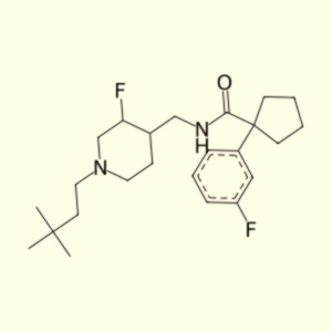 CC(C)(C)CCN1CCC(CNC(=O)C2(c3cccc(F)c3)CCCC2)C(F)C1